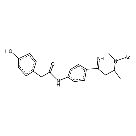 CC(=O)N(C)C(C)CC(=N)c1ccc(NC(=O)Cc2ccc(O)cc2)cc1